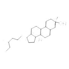 CC[C@H](C)CCC[C@H]1CCC2[C@@H]3CCC4C[C@@](C)(O)CC[C@]4(C)C3CC[C@@]21C